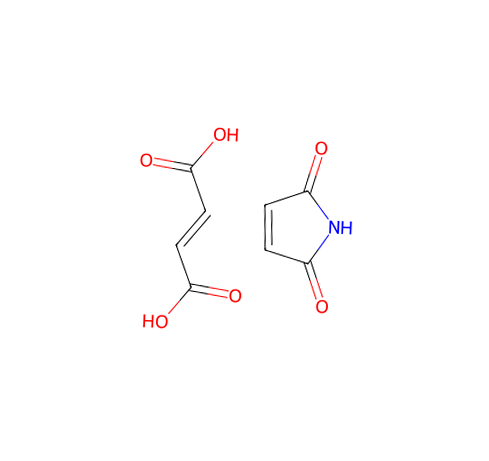 O=C(O)/C=C/C(=O)O.O=C1C=CC(=O)N1